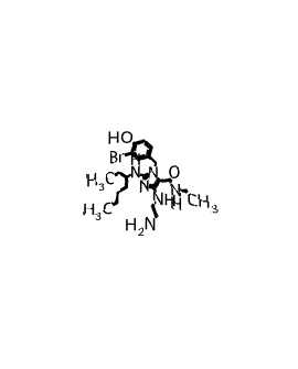 CCCCC(CC)Nc1nc(NCCN)c(C(=O)NCC)n1Cc1ccc(O)c(Br)c1